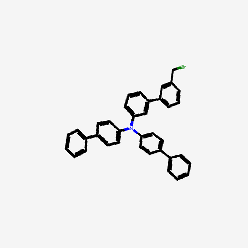 BrCc1cccc(-c2cccc(N(c3ccc(-c4ccccc4)cc3)c3ccc(-c4ccccc4)cc3)c2)c1